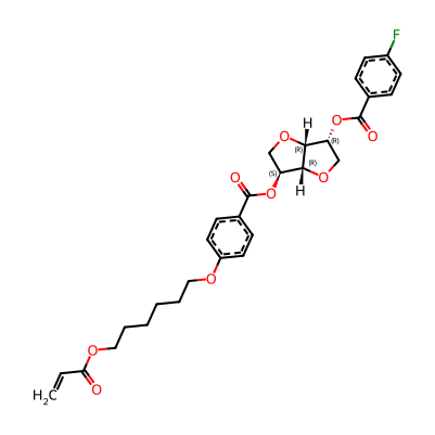 C=CC(=O)OCCCCCCOc1ccc(C(=O)O[C@H]2CO[C@H]3[C@@H]2OC[C@H]3OC(=O)c2ccc(F)cc2)cc1